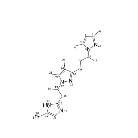 Cc1cc(C)n(C(C)CCc2nn(C(C)Cc3ncc(C(C)C)[nH]3)c(C)c2C)n1